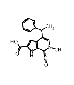 CC(C1=CN(C)C(=C=O)c2[nH]c(C(=O)O)cc21)c1ccccc1